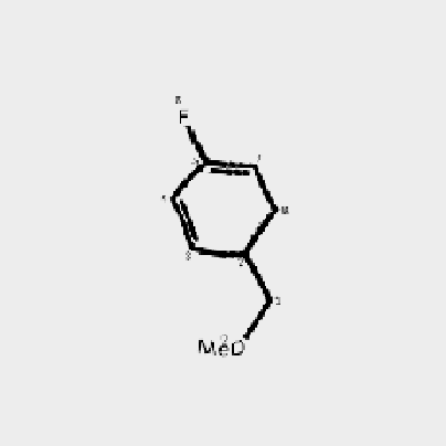 COCC1C=CC(F)=CC1